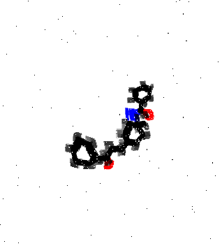 CC1(NC(=O)c2ccccc2)C=CC(C=CC(=O)c2ccccc2)=CC1